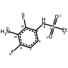 CCS(=O)(=O)Nc1ccc(F)c(N)c1F